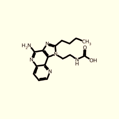 CCCCc1nc2c(N)nc3cccnc3c2n1CCNC(=O)O